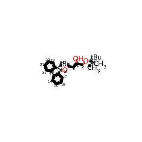 CC(C)(C)[Si](C)(C)OCC(O)=CCO[Si](c1ccccc1)(c1ccccc1)C(C)(C)C